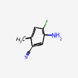 Cc1cc(F)c(N)cc1C#N